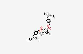 CCC(CC(CC)C(=O)OCc1ccc(CC(C)C)cc1)C(=O)OCc1ccc(CC(C)C)cc1